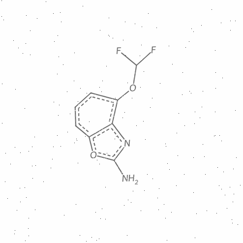 Nc1nc2c(OC(F)F)cccc2o1